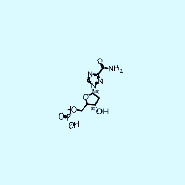 NC(=O)c1ncn([C@H]2C[C@H](O)C(CO[PH](=O)O)O2)n1